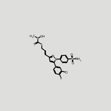 CN(O)C(=S)SCC=Cc1cc(-c2ccc(F)c(Cl)c2)n(-c2ccc(S(N)(=O)=O)cc2)n1